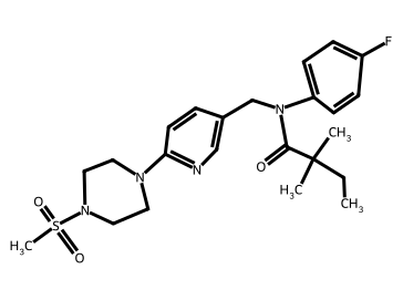 CCC(C)(C)C(=O)N(Cc1ccc(N2CCN(S(C)(=O)=O)CC2)nc1)c1ccc(F)cc1